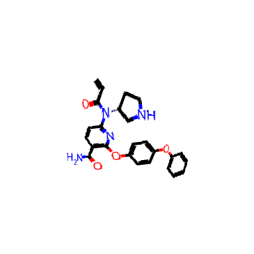 C=CC(=O)N(c1ccc(C(N)=O)c(Oc2ccc(Oc3ccccc3)cc2)n1)[C@@H]1CCNC1